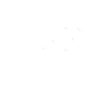 Cc1nc(N)nc(N)c1N1CCN(c2ccc(C(F)(F)F)cc2)CC1